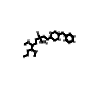 CCCC(OC)C(CC[C](F)([InH2])CCC1CCN(Cc2ccccc2)CC1)OC